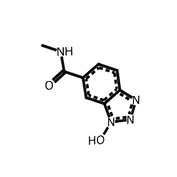 CNC(=O)c1ccc2nnn(O)c2c1